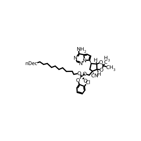 CCCCCCCCCCCCCCCCCCCCOP(=O)(OC[C@@]1(C#N)C[C@@H](c2ccc3c(N)ncnn23)[C@@H]2OC(C)(C)O[C@@H]21)Oc1ccccc1Cl